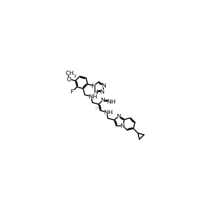 COc1ccc(-n2cnnn2)c(CNC/C(=C/NCc2cn3cc(C4CC4)ccc3n2)N=N)c1F